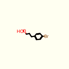 OOCCCc1ccc(Br)cc1